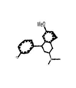 COc1ccc2c(c1)C(c1cccc(Cl)c1)CC(N(C)C)C2